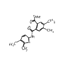 COC(=O)c1cc(C)c(C)cc1C(=O)Nc1ccc(C)c(C)n1